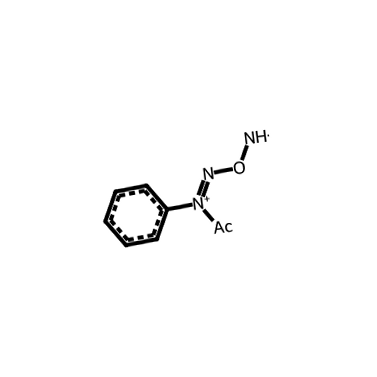 [CH2]C(=O)[N+](=NO[NH])c1ccccc1